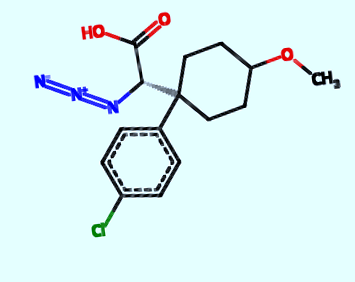 COC1CCC(c2ccc(Cl)cc2)([C@H](N=[N+]=[N-])C(=O)O)CC1